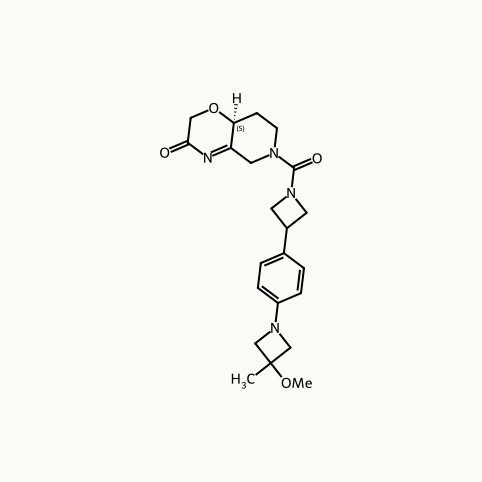 COC1(C)CN(c2ccc(C3CN(C(=O)N4CC[C@@H]5OCC(=O)N=C5C4)C3)cc2)C1